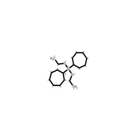 CCO[Si](OCC)(C1CCCCCC1)C1CCCCCC1